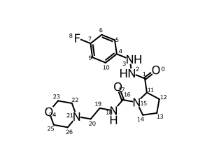 O=C(NNc1ccc(F)cc1)C1CCCN1C(=O)NCCN1CCOCC1